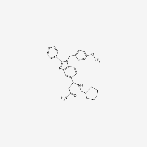 NC(=O)CC(NCC1CCCCC1)c1ccc2c(c1)nc(-c1ccncc1)n2Cc1ccc(OC(F)(F)F)cc1